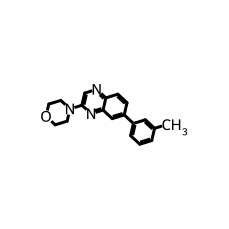 Cc1cccc(-c2ccc3ncc(N4CCOCC4)nc3c2)c1